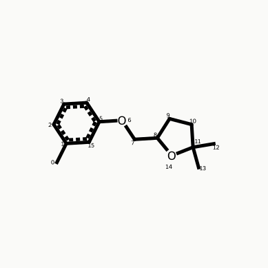 Cc1cccc(OCC2CCC(C)(C)O2)c1